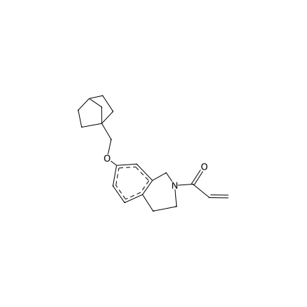 C=CC(=O)N1CCc2ccc(OCC34CCC(CC3)C4)cc2C1